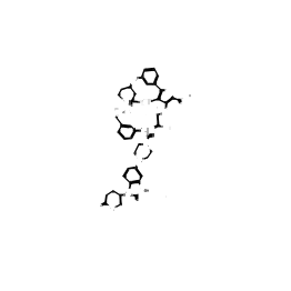 C=C(O)COc1c(C(=O)O)sc(-c2cccc(NC3CCN(S(=O)(=O)Cc4cccc(NC(=O)N5CCN(c6ccc7c(c6)n(C)c(=O)n7C6CCC(=O)NC6=O)CC5)c4)C(C)(C)C3)c2)c1Cl